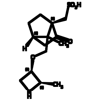 C[C@@H]1NC[C@H]1OCC1(C)[C@H]2CC[C@]1(CS(=O)(=O)O)C(=O)C2